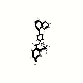 O=C(Nc1ccc(-c2cccc3c2C=CCC3)cc1)c1ccc(F)cc1C(F)(F)F